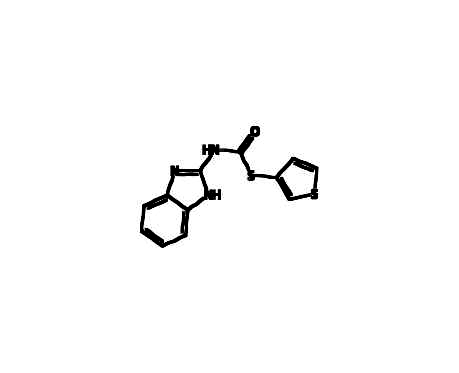 O=C(Nc1nc2ccccc2[nH]1)Sc1ccsc1